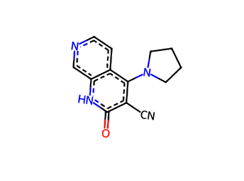 N#Cc1c(N2CCCC2)c2ccncc2[nH]c1=O